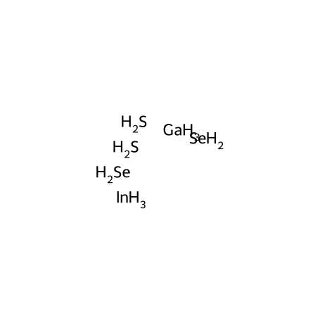 S.S.[GaH3].[InH3].[SeH2].[SeH2]